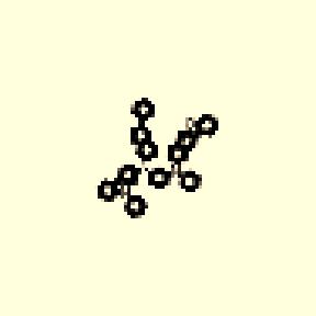 c1ccc(-c2ccc3cc(N(c4cccc(N(c5ccccc5)c5ccc6cc7oc8ccccc8c7cc6c5)c4)c4ccc5c6ccccc6n(-c6ccccc6)c5c4)ccc3c2)cc1